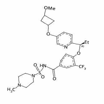 CC[C@@H](Oc1ccc(C(=O)NS(=O)(=O)N2CCN(C)CC2)cc1C(F)(F)F)c1ccc(OC2CC(OC)C2)cn1